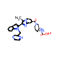 Cc1c(-c2cc3ccccc3n2Cc2cnccn2)nc2cc(C(=O)N3CCC[C@@H](NC(=O)O)C3)ccn12